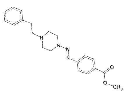 COC(=O)c1ccc(/N=N/N2CCN(CCc3ccccc3)CC2)cc1